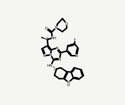 C[C@@H](NC(=O)N1CCOCC1)c1cnn2c(N[C@H]3CCc4[nH]c5ccccc5c4C3)nc(-c3cncc(F)c3)nc12